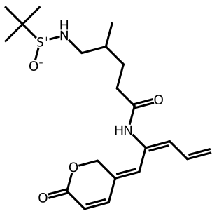 C=C/C=C(\C=C1\C=CC(=O)OC1)NC(=O)CCC(C)CN[S+]([O-])C(C)(C)C